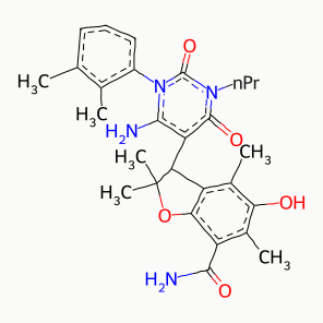 CCCn1c(=O)c(C2c3c(C)c(O)c(C)c(C(N)=O)c3OC2(C)C)c(N)n(-c2cccc(C)c2C)c1=O